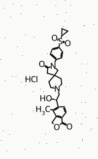 Cc1c([C@@H](O)CN2CCC3(CC2)CC(=O)N(c2ccc(S(=O)(=O)C4CC4)cc2)C3)ccc2c1COC2=O.Cl